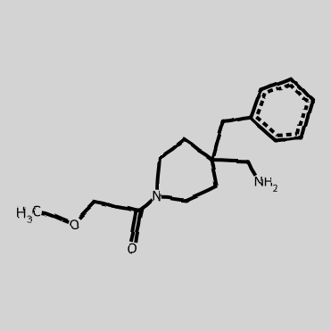 COCC(=O)N1CCC(CN)(Cc2ccccc2)CC1